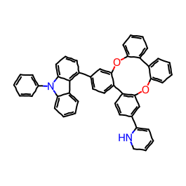 C1=CCNC(c2ccc3c(c2)Oc2ccccc2-c2ccccc2Oc2cc(-c4cccc5c4c4ccccc4n5-c4ccccc4)ccc2-3)=C1